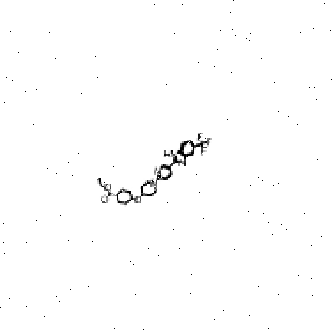 CCOC(=O)[C@H]1CC[C@@H](OC2CCN(c3ccc(-c4nc5cc(C(F)(F)F)ccc5[nH]4)cn3)CC2)CC1